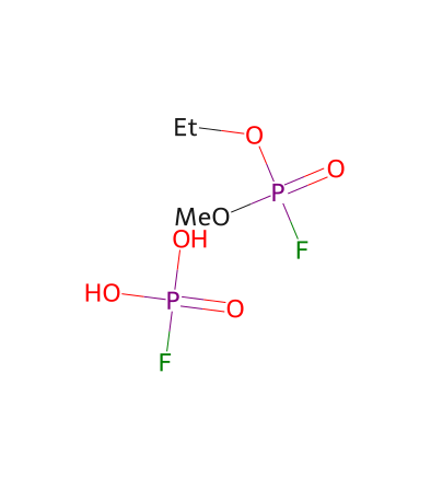 CCOP(=O)(F)OC.O=P(O)(O)F